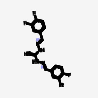 CCc1cc(/C=N/NC(=N)N/N=C/c2ccc(F)c(F)c2)ccc1F